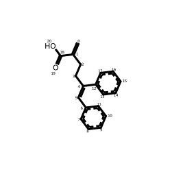 C=C(CCC(=Cc1ccccc1)c1ccccc1)C(=O)O